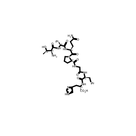 CC(C)C[C@H](NC(=O)CNC(=O)[C@@H]1CCCN1C(=O)[C@H](CCC(N)=O)NC(=O)[C@@H](NC(=O)[C@@H](N)[C@@H](C)O)C(C)C)C(=O)N[C@@H](Cc1c[nH]cn1)C(=O)O